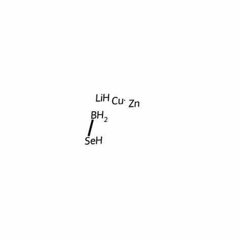 B[SeH].[Cu].[LiH].[Zn]